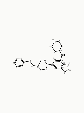 c1ccc(COC2CCN(c3nc4c(c(NC5CCOCC5)n3)OCC4)CC2)cc1